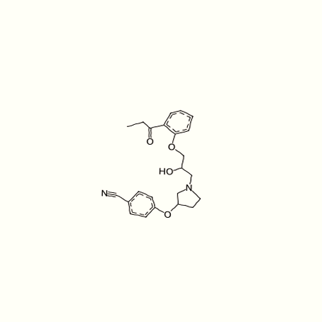 CCC(=O)c1ccccc1OCC(O)CN1CCC(Oc2ccc(C#N)cc2)C1